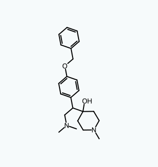 CN(C)CC(c1ccc(OCc2ccccc2)cc1)C1(O)CCN(C)CC1